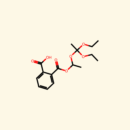 CCOC(C)(OCC)OC(C)OC(=O)c1ccccc1C(=O)O